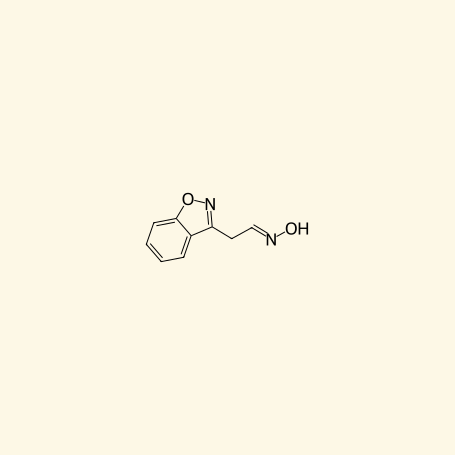 ON=CCc1noc2ccccc12